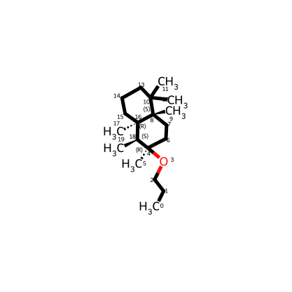 CCCO[C@]1(C)CC[C@@]2(C)C(C)(C)CCC[C@]2(C)[C@@H]1C